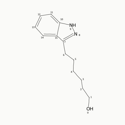 OCCCCCCc1n[nH]c2ccccc12